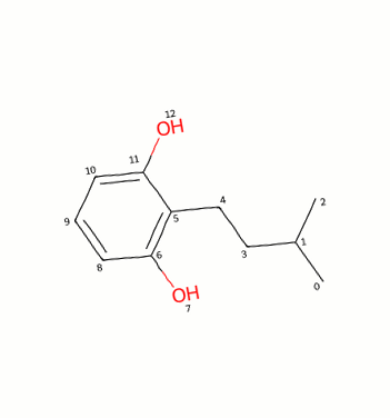 CC(C)CCc1c(O)cccc1O